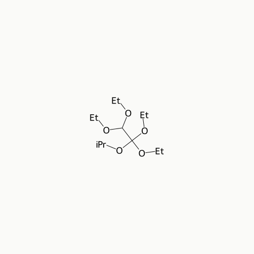 [CH2]COC(OCC)(OC(C)C)C(OCC)OCC